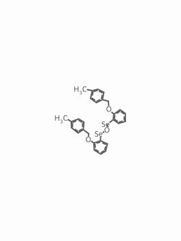 Cc1ccc(COc2ccccc2[Se]O[Se]c2ccccc2OCc2ccc(C)cc2)cc1